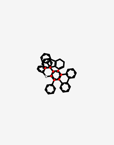 C1=CC2=C(CC1)c1ccccc1C21c2ccccc2Oc2cc(-c3ccccc3-c3ccccc3-c3cc(-c4ccccc4)nc(-c4ccccc4)n3)ccc21